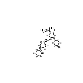 CN(C)c1ccc(-c2ccc(Cl)cc2)c(COc2ccc(C3[CH]CCCC3)cc2)c1